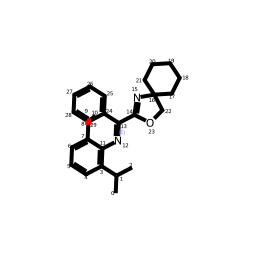 CC(C)c1cccc(C(C)C)c1/N=C(/C1=NC2(CCCCC2)CO1)c1ccccc1